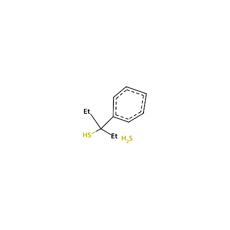 CCC(S)(CC)c1ccccc1.S